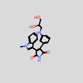 Cn1cc(C2=C(c3cccc(NCC(O)CO)c3)C(=O)NC2=O)c2ccccc21